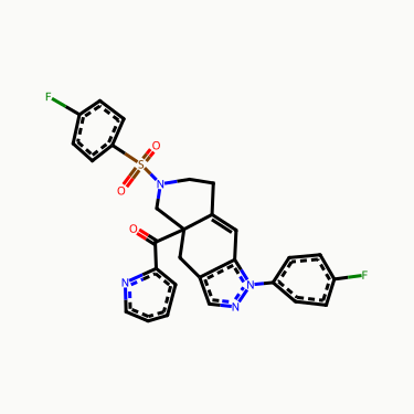 O=C(c1ccccn1)C12Cc3cnn(-c4ccc(F)cc4)c3C=C1CCN(S(=O)(=O)c1ccc(F)cc1)C2